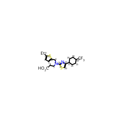 CCc1ccc(CN(CCC(=O)O)c2nc(C3CCC(C(F)(F)F)CC3)cs2)s1